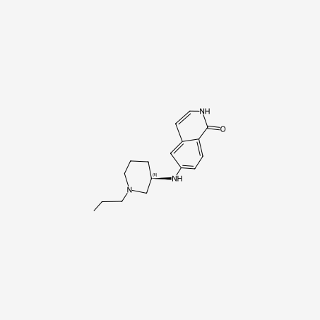 CCCN1CCC[C@@H](Nc2ccc3c(=O)[nH]ccc3c2)C1